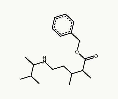 CC(C)C(C)NCCC(C)C(C)C(=O)OCc1ccccc1